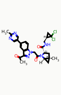 CC(=O)c1nn(CC(=O)N2[C@H](C(=O)NC[C@H]3CC3(Cl)Cl)C[C@@]3(C)C[C@@H]23)c2ccc(-c3cnc(C)nc3)cc12